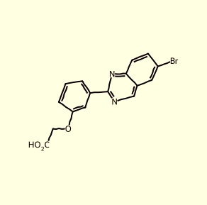 O=C(O)COc1cccc(-c2ncc3cc(Br)ccc3n2)c1